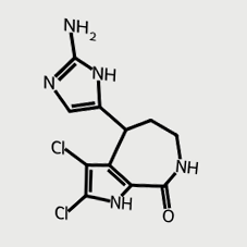 Nc1ncc(C2CCNC(=O)c3[nH]c(Cl)c(Cl)c32)[nH]1